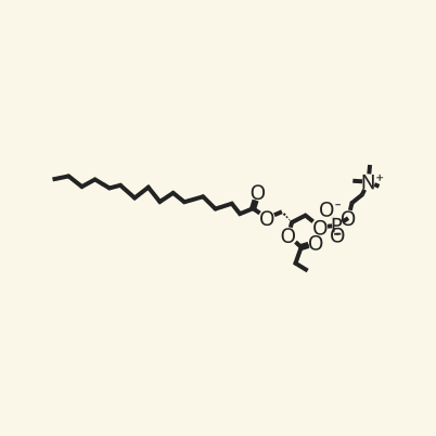 CCCCCCCCCCCCCCCC(=O)OC[C@H](COP(=O)([O-])OCC[N+](C)(C)C)OC(=O)CC